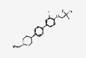 CCCCC[SiH]1CCC(c2ccc(-c3ccc(OCC(F)(F)C(F)(F)F)c(F)c3)cc2)CC1